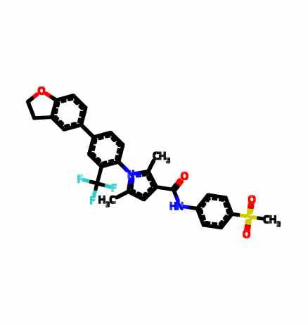 Cc1cc(C(=O)Nc2ccc(S(C)(=O)=O)cc2)c(C)n1-c1ccc(-c2ccc3c(c2)CCO3)cc1C(F)(F)F